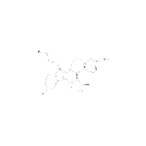 CCCCOCCn1c2ccc(Br)cc2c2c3c(c4c(c21)CCc1cc(OC)ccc1-4)C(=O)NC3